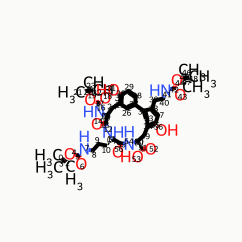 CC(C)(C)OC(=O)NCCC[C@@H]1NC(=O)[C@@H](NC(=O)OC(C)(C)C)Cc2cc(ccc2O)-c2cc(c(O)cc2CCNC(=O)OC(C)(C)C)C[C@@H](C(=O)O)NC1=O